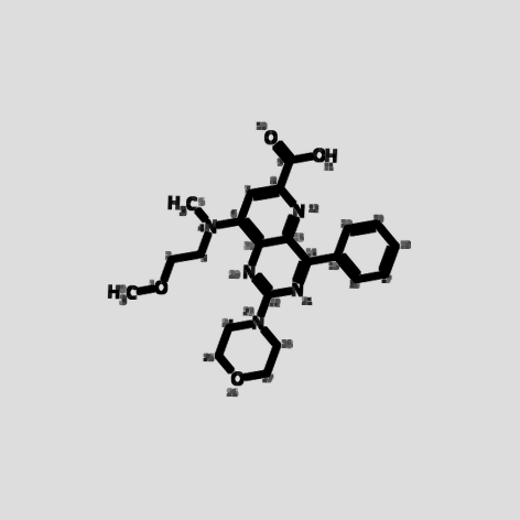 COCCN(C)c1cc(C(=O)O)nc2c(-c3ccccc3)nc(N3CCOCC3)nc12